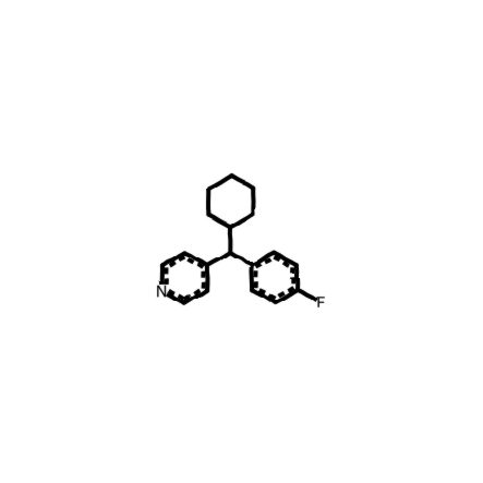 Fc1ccc(C(c2ccncc2)C2CCCCC2)cc1